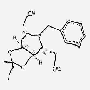 CC(=O)OC[C@@H]1[C@H]2OC(C)(C)O[C@H]2[C@H](CC#N)N1Cc1ccccc1